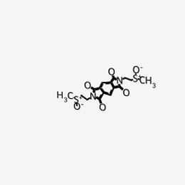 C[S+]([O-])CCn1c(=O)c2cc3c(=O)n(CC[S+](C)[O-])c(=O)c3cc2c1=O